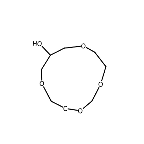 OC1COCCOCOCCOC1